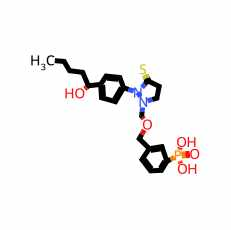 CCCCC(O)c1ccc(N2C(=S)CCN2COCc2cccc(P(=O)(O)O)c2)cc1